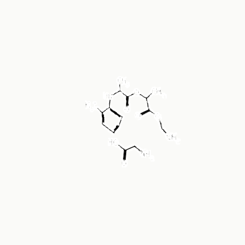 CCOC(=O)C(C)OC(=O)[C@H](C)Nc1ccccc1C.NCC(=O)O